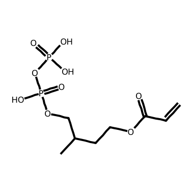 C=CC(=O)OCCC(C)COP(=O)(O)OP(=O)(O)O